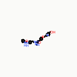 O=C(Nc1ccccc1)Nc1ccc(CCNc2ncnc3oc(-c4ccc(OCCCN5CCC(CO)CC5)cc4)cc23)cc1